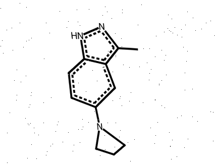 Cc1n[nH]c2ccc(N3CCC3)cc12